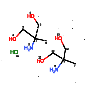 CC(N)(CO)CO.CC(N)(CO)CO.Cl